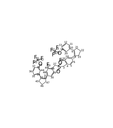 O=S(=O)(Cc1ccc(C2=C(c3cccc(OC(F)(F)F)c3)CCC2)cc1F)Cc1ccc(C2=C(c3cccc(OC(F)(F)F)c3)CCC2)cc1F